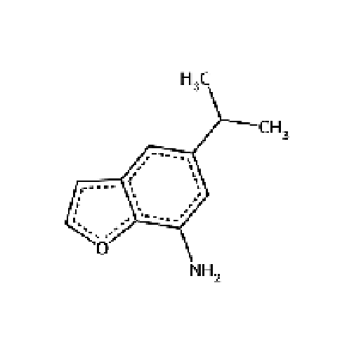 CC(C)c1cc(N)c2occc2c1